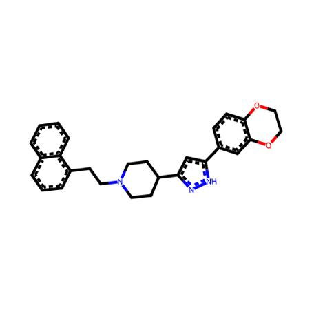 c1ccc2c(CCN3CCC(c4cc(-c5ccc6c(c5)OCCO6)[nH]n4)CC3)cccc2c1